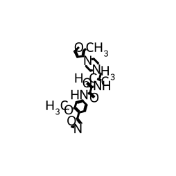 COc1cc(NC(=O)C(=O)NC(C)(C)CN2CCN(c3ccoc3C)CC2)ccc1-c1cnco1